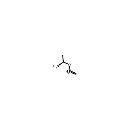 CC(N)O[PH2]=O